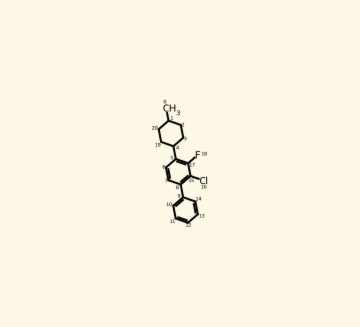 CC1CCC(c2ccc(-c3ccccc3)c(Cl)c2F)CC1